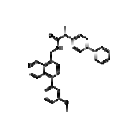 COc1cccc(-c2ccc(CNC(=O)C(C)c3ccc(-c4ccccc4)cc3)c3cnccc23)c1